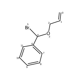 C=CCOC(Br)c1ccccc1